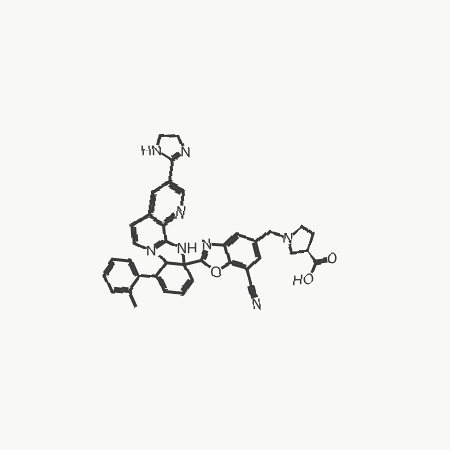 Cc1ccccc1C1=CC=CC(Nc2nccc3cc(C4=NCCN4)cnc23)(c2nc3cc(CN4CC[C@@H](C(=O)O)C4)cc(C#N)c3o2)C1C